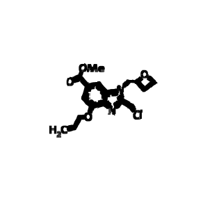 C=CCOc1cc(C(=O)OC)cc2c1nc(CCl)n2C[C@@H]1CCO1